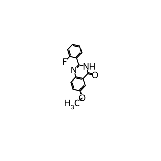 COc1ccc2nc(-c3ccccc3F)[nH]c(=O)c2c1